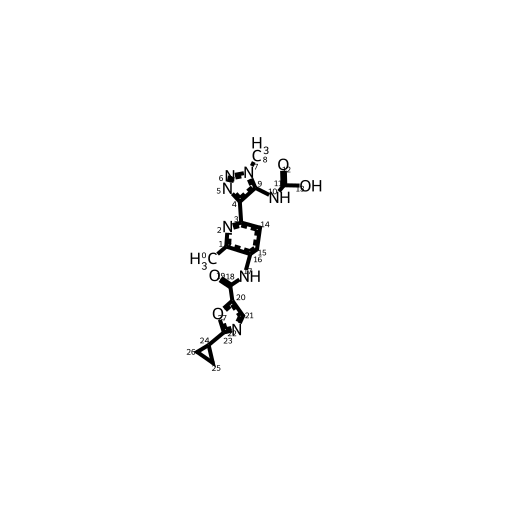 Cc1nc(-c2nnn(C)c2NC(=O)O)ccc1NC(=O)c1cnc(C2CC2)o1